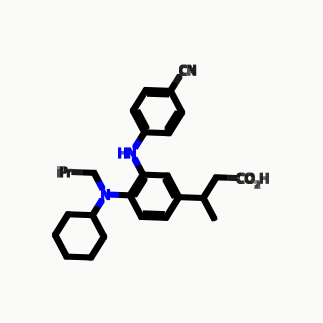 CC(C)CN(c1ccc(C(C)CC(=O)O)cc1Nc1ccc(C#N)cc1)C1CCCCC1